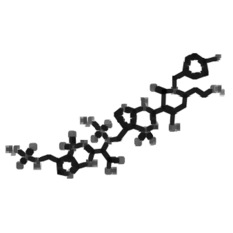 CCCC1CC(O)=C(C2=NS(=O)(=O)c3c(CN(C(C(=O)O)C4=NS(=O)(=O)c5c(CNS(C)(=O)=O)csc5N4)S(C)(=O)=O)csc3N2)C(=O)N1Cc1ccc(F)cc1